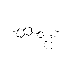 CC(C)(C)OC(=O)N1CCCC[C@H]1c1nc(-c2ccc3cc(Br)ccc3c2)c[nH]1